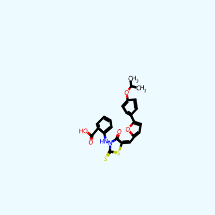 CC(C)Oc1ccc(-c2ccc(C=C3SC(=S)N(Nc4ccccc4C(=O)O)C3=O)o2)cc1